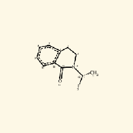 C[C@H](F)N1CCc2ccccc2C1=O